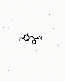 N#CC(Cl)Cc1ccc(F)cc1